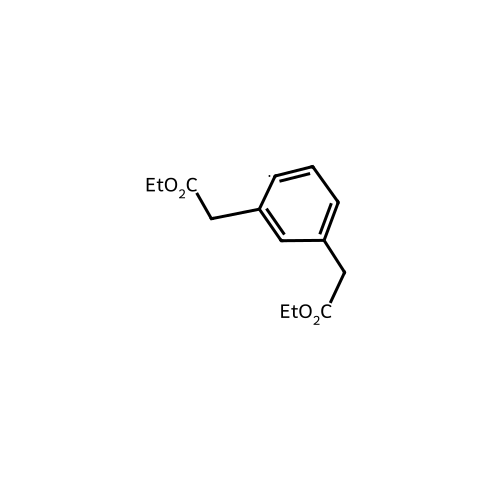 CCOC(=O)Cc1[c]ccc(CC(=O)OCC)c1